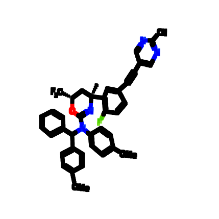 COc1ccc(C(c2ccccc2)N(C2=N[C@](C)(c3cc(C#Cc4cnc(C#N)nc4)ccc3F)C[C@@H](C(F)(F)F)O2)c2ccc(OC)cc2)cc1